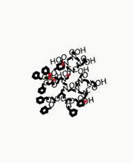 O=C(O)CN1CCN(CC(=O)O)CCN(CC(O)CN(CCN(CC(O)CN2CCN(CC(=O)O)CCN(C(=O)O)CCN(CC(=O)O)CC2)CC(COC(COCc2ccccc2)COCc2ccccc2)COC(COCc2ccccc2)COCc2ccccc2)CC(COC(COCc2ccccc2)COCc2ccccc2)COC(COCc2ccccc2)COCc2ccccc2)CCN(CC(=O)O)CC1